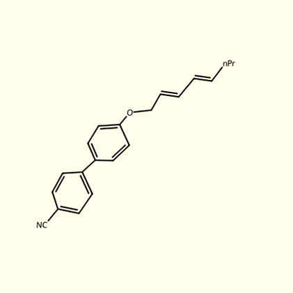 CCCC=CC=CCOc1ccc(-c2ccc(C#N)cc2)cc1